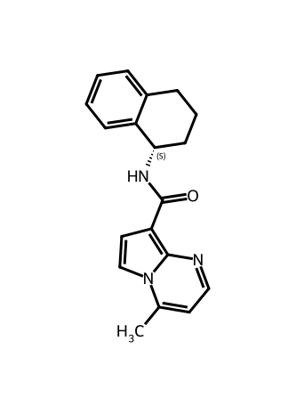 Cc1ccnc2c(C(=O)N[C@H]3CCCc4ccccc43)ccn12